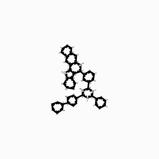 c1ccc(-c2ccc(-c3nc(-c4ccccc4)nc(-c4cccc(-c5nc6cc7ccccc7cc6c6oc7ccccc7c56)c4)n3)cc2)cc1